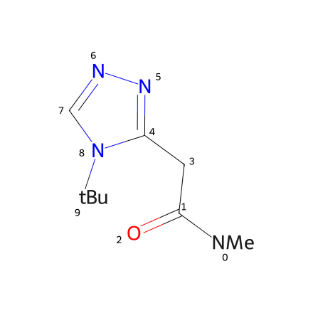 CNC(=O)Cc1nncn1C(C)(C)C